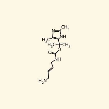 Cc1nc(C)c(C(C)(C)OC(=O)NC/C=C/CN)[nH]1